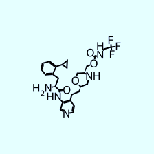 N[C@@H](Cc1ccccc1C1CC1)C(=O)Nc1cnccc1CC[C@@H]1CN[C@H](COC(=O)NCC(F)(F)F)CO1